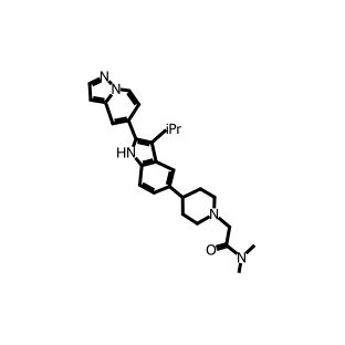 CC(C)c1c(-c2ccn3nccc3c2)[nH]c2ccc(C3CCN(CC(=O)N(C)C)CC3)cc12